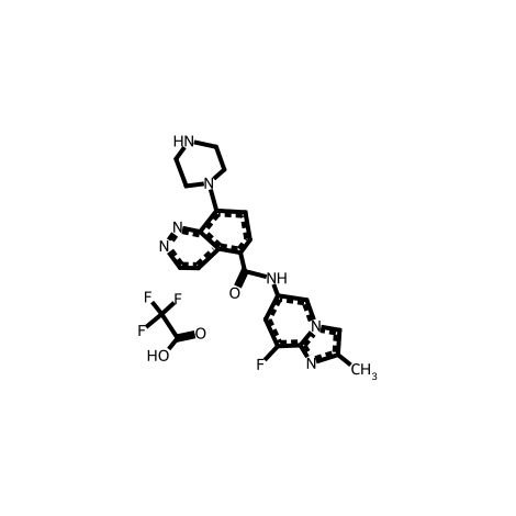 Cc1cn2cc(NC(=O)c3ccc(N4CCNCC4)c4nnccc34)cc(F)c2n1.O=C(O)C(F)(F)F